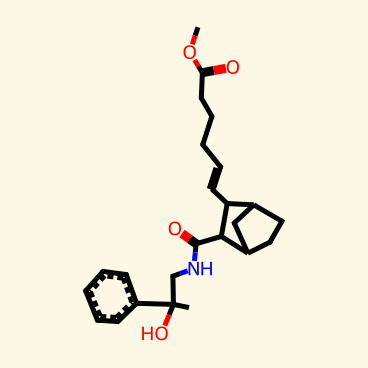 COC(=O)CCCC=CC1C2CCC(C2)C1C(=O)NCC(C)(O)c1ccccc1